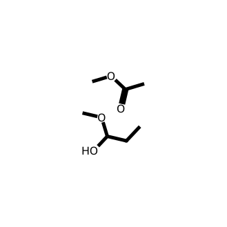 CCC(O)OC.COC(C)=O